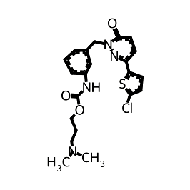 CN(C)CCCOC(=O)Nc1cccc(Cn2nc(-c3ccc(Cl)s3)ccc2=O)c1